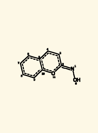 ON=c1ccc2ccccc2o1